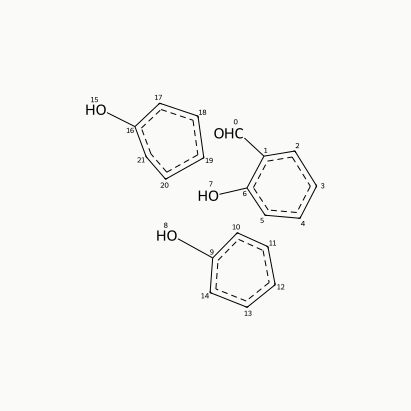 O=Cc1ccccc1O.Oc1ccccc1.Oc1ccccc1